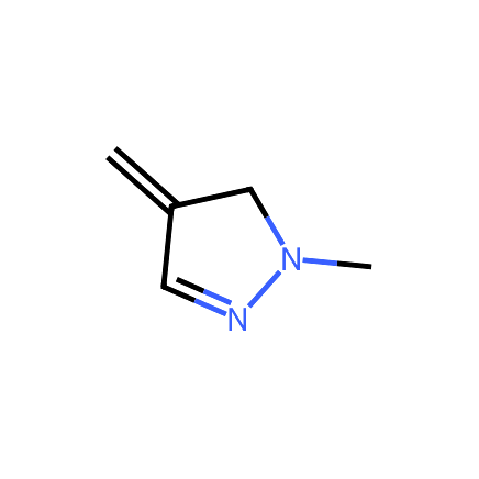 C=C1C=NN(C)C1